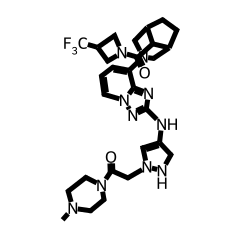 CN1CCN(C(=O)CN2C=C(Nc3nc4c(N5CC6CCC(C5)C6C(=O)N5CC(C(F)(F)F)C5)cccn4n3)CN2)CC1